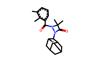 Cc1cccc(C(=O)N2N(C3C4CC5CC(C4)CC3C5)C(=O)C2(C)C)c1C